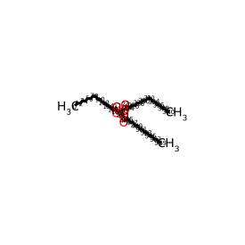 CCCCCCC/C=C\CCCCCCCC(=O)O[C@@H](COC(=O)CCCCCCC/C=C\CCCCCCCC)COC(=O)CCCCCCCCCCCCCCC